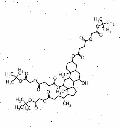 CC(CCC(=O)OCC(=O)OC(C)(C)C)C1CCC2C3C(O)CC4CC(OC(=O)CCC(=O)OCC(=O)OC(C)(C)C)CCC4(C)C3CC(OC(=O)CCC(=O)OCC(=O)OC(C)(C)C)C12C